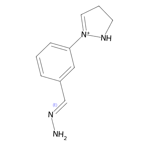 N/N=C/c1cccc([N+]2=CCCN2)c1